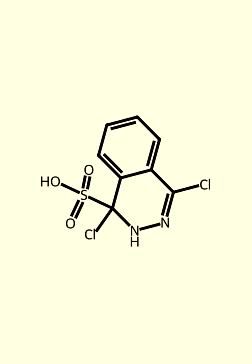 O=S(=O)(O)C1(Cl)NN=C(Cl)c2ccccc21